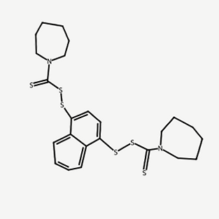 S=C(SSc1ccc(SSC(=S)N2CCCCCC2)c2ccccc12)N1CCCCCC1